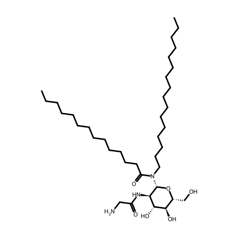 CCCCCCCCCCCCCCCCN(C(=O)CCCCCCCCCCCCC)[C@@H]1O[C@H](CO)[C@@H](O)[C@H](O)[C@H]1NC(=O)CN